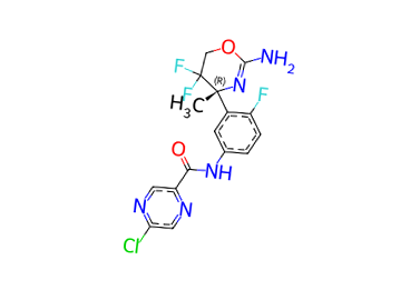 C[C@]1(c2cc(NC(=O)c3cnc(Cl)cn3)ccc2F)N=C(N)OCC1(F)F